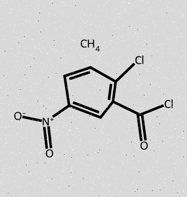 C.O=C(Cl)c1cc([N+](=O)[O-])ccc1Cl